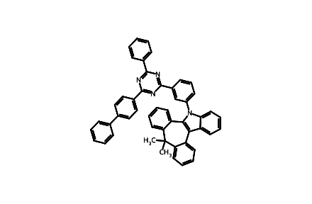 CC1(C)c2ccccc2-c2c(n(-c3cccc(-c4nc(-c5ccccc5)nc(-c5ccc(-c6ccccc6)cc5)n4)c3)c3ccccc23)-c2ccccc21